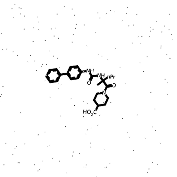 CCCC(C)(NC(=O)Nc1ccc(-c2ccccc2)cc1)C(=O)N1CCC(C(=O)O)CC1